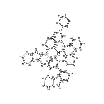 c1ccc(-c2cccc(-c3c(N(c4cccc(-c5cccc6oc7ccccc7c56)c4)c4ccccc4-c4cccc5c4oc4ccccc45)c4ccccc4c4ccccc34)c2)cc1